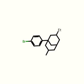 CCC1CC2CC(C)CC(c3ccc(Br)cc3)(C1)C2